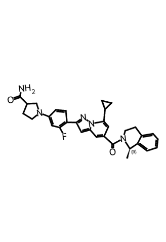 C[C@@H]1c2ccccc2CCN1C(=O)c1cc(C2CC2)n2nc(-c3ccc(N4CCC(C(N)=O)C4)cc3F)cc2c1